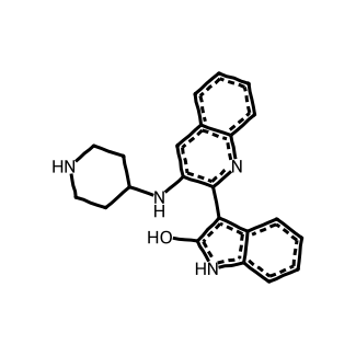 Oc1[nH]c2ccccc2c1-c1nc2ccccc2cc1NC1CCNCC1